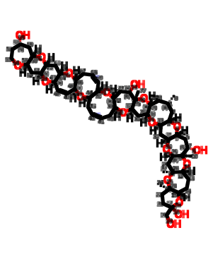 C[C@@H]1C[C@@H]2O[C@@H]3C[C@H](O)[C@]4(C)O[C@@H]5CC[C@@H]6O[C@](O)(CO)CC[C@@]6(C)O[C@@]5(C)C[C@H]4O[C@H]3C[C@H]2O[C@H]2C[C@H]3O[C@H]4C/C=C\C[C@H]5O[C@H]6C=C[C@H]7O[C@H]8C[C@H]9OCC[C@H](O)C[C@@H]9O[C@@H]8C[C@@H]7O[C@@H]6C/C=C\[C@@H]5O[C@@H]4C[C@@H](O)[C@]3(C)O[C@@H]2C1